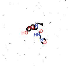 C[C@@H]1CN(CCNC(=O)[C@@H]2C[C@]34CCN(CC5CC5)[C@H](Cc5ccc(O)cc53)[C@]4(O)C2)C[C@H](C)O1